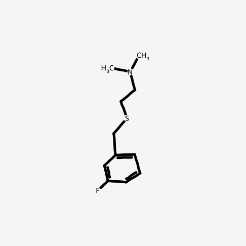 CN(C)CCSCc1cccc(F)c1